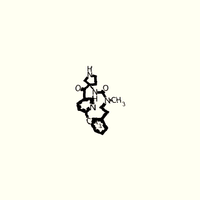 Cc1ccc(C(=O)[C@@]2(NC(=O)N(C)CCc3ccccc3)CCNC2)cn1